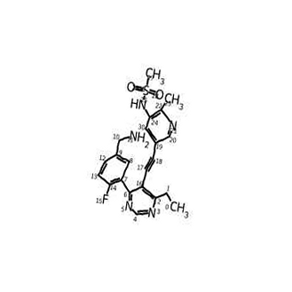 CCc1ncnc(-c2cc(CN)ccc2F)c1C#Cc1cnc(C)c(NS(C)(=O)=O)c1